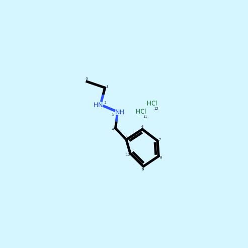 CCNNCc1ccccc1.Cl.Cl